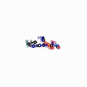 CC(C)c1ccccc1[C@@H]1CN(Cc2ccc(F)cc2F)CCN1C1CC2(CCN(c3ccc(C(=O)NS(=O)(=O)c4cc([N+](=O)[O-])c(NCC5(F)CCOCC5)c5c4OCO5)c(Oc4cnc5[nH]ccc5c4)c3)CC2)C1